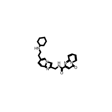 O=C(NCc1cn2cc(CCNC3CCCCC3)ccc2n1)c1cc(=O)n2ccccc2n1